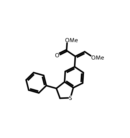 CO/C=C(/C(=O)OC)c1ccc2c(c1)C(c1ccccc1)CS2